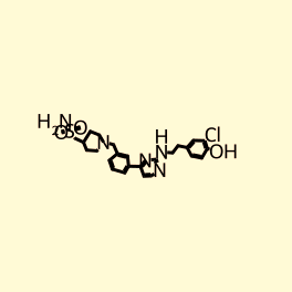 NS(=O)(=O)CC1CCN(Cc2cccc(-c3ccnc(NCCc4ccc(O)c(Cl)c4)n3)c2)CC1